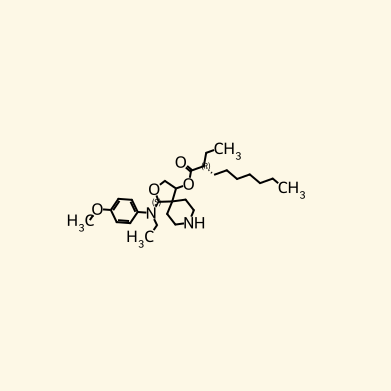 CCCCCCC[C@@H](CC)C(=O)OC1CO[C@H](N(CC)c2ccc(OC)cc2)C12CCNCC2